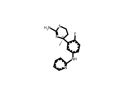 C[C@@]1(c2cc(Nc3ccccn3)ccc2F)CCSC(N)=N1